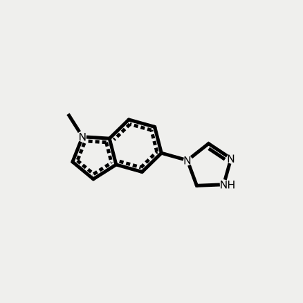 Cn1ccc2cc(N3C=NNC3)ccc21